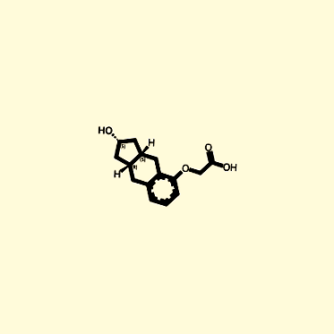 O=C(O)COc1cccc2c1C[C@H]1C[C@@H](O)C[C@H]1C2